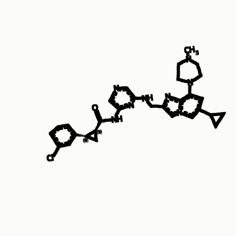 CN1CCN(c2cc(C3CC3)cn3cc(CNc4cncc(NC(=O)[C@H]5C[C@@H]5c5cccc(Cl)c5)n4)nc23)CC1